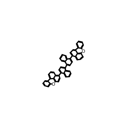 c1ccc2c(c1)Oc1ccc(-c3ccc(-c4ccc(-c5ccc6c7c(cccc57)Oc5ccccc5-6)c5ccccc45)c4ccccc34)c3cccc-2c13